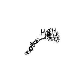 CC(C)(C)CC1(C(=O)OCCCCOc2ccc(OC(=O)c3ccc(OC=O)cc3)cc2)CC1(C)C